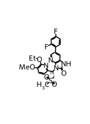 CCOc1nc([C@@H](CS(C)(=O)=O)n2c(=O)[nH]c3cc(-c4ccc(F)cc4F)cnc32)ccc1OC